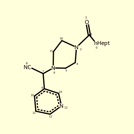 CCCCCCCC(=O)N1CCN(C(C#N)c2cccnc2)CC1